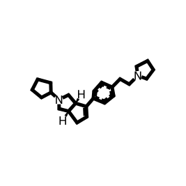 C1=C(c2ccc(CCN3CCCC3)cc2)[C@H]2CN(C3CCCC3)C[C@H]2C1